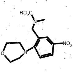 CN(Cc1cc([N+](=O)[O-])ccc1N1CCOCC1)C(=O)O